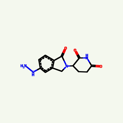 NNc1ccc2c(c1)CN(C1CCC(=O)NC1=O)C2=O